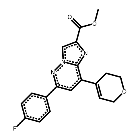 COC(=O)c1cn2nc(-c3ccc(F)cc3)cc(C3=CCOCC3)c2n1